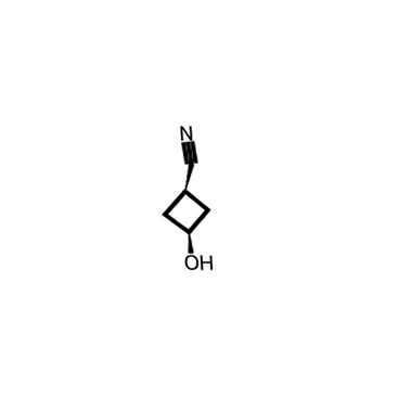 N#C[C@H]1C[C@@H](O)C1